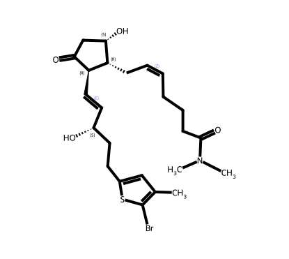 Cc1cc(CC[C@H](O)/C=C/[C@H]2C(=O)C[C@H](O)[C@@H]2C/C=C\CCCC(=O)N(C)C)sc1Br